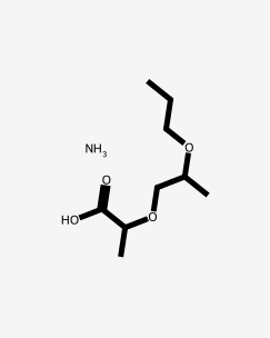 CCCOC(C)COC(C)C(=O)O.N